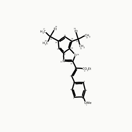 CCOC(=O)/C(=C\c1ccc(OC)cc1)c1nc2cc(C(C)(C)CC)cc(C(C)(C)CC)c2o1